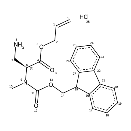 C=CCOC(=O)[C@H](CN)N(C)C(=O)OCC1c2ccccc2-c2ccccc21.Cl